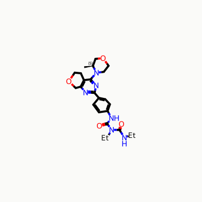 CCNC(=O)N(CC)C(=O)Nc1ccc(-c2nc3c(c(N4CCOC[C@@H]4C)n2)CCOC3)cc1